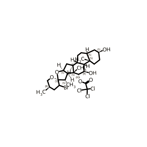 C[C@H]1CO[C@@]2(O[C@H]3C[C@H]4[C@@H]5CC[C@H]6C[C@@H](O)CC[C@]6(C)[C@H]5[C@@H](O)[C@H](OC(=O)C(Cl)(Cl)Cl)[C@]4(C)[C@H]3[C@@H]2C)C(Br)C1